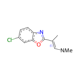 CN/C=C(\C)c1nc2ccc(Cl)cc2o1